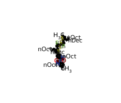 CCCCCCCCCCC(CCCCCCCC)Cc1cc(C)sc1-c1cc(F)c(-c2sc(-c3sc(-c4ccc5c(c4)N(CCCCCCCC)C(=O)/C5=C4/C(=O)N(CCCCCCCC)c5cc(C)ccc54)cc3CC(CCCCCCCC)CCCCCCCCCC)cc2F)s1